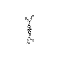 C#CCOCC(COc1ccc(S(=O)(=O)c2ccc(OCC(COCC#C)OCC3CO3)cc2)cc1)OCC1CO1